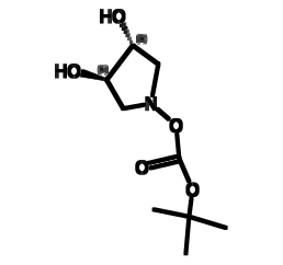 CC(C)(C)OC(=O)ON1C[C@@H](O)[C@H](O)C1